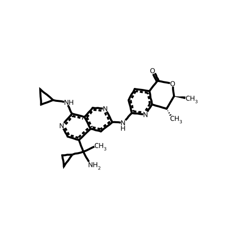 C[C@@H]1OC(=O)c2ccc(Nc3cc4c(C(C)(N)C5CC5)cnc(NC5CC5)c4cn3)nc2[C@H]1C